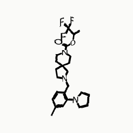 Cc1ccc(CN2CCC3(CCN(C(=O)OC(C)C(F)(F)F)CC3)C2)c(N2CCCC2)c1